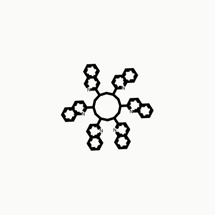 c1ccc2cc(C3CC(c4ccc5ccccc5n4)CC(c4ccc5ccccc5n4)CC(c4ccc5ccccc5n4)CC(c4ccc5ccccc5n4)CC(c4ccc5ccccc5n4)C3)ncc2c1